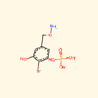 NOCc1ccc(Br)c(O)c1.O=P(O)(O)O